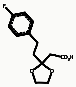 O=C(O)CC1(CCc2ccc(F)cc2)OCCO1